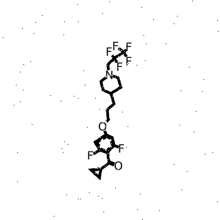 O=C(c1c(F)cc(OCCCC2CCN(CC(F)(F)C(F)(F)F)CC2)cc1F)C1CC1